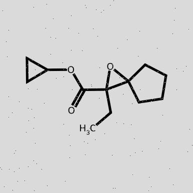 CCC1(C(=O)OC2CC2)OC12CCCC2